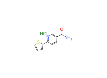 Cl.NC(=O)c1ccc(-c2cccs2)nc1